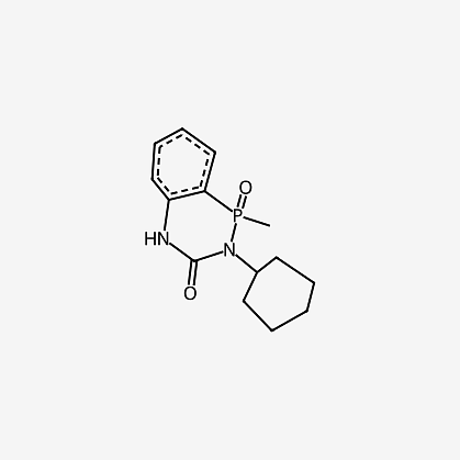 CP1(=O)c2ccccc2NC(=O)N1C1CCCCC1